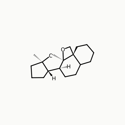 C[C@@]12CCC[C@H]1[C@@H]1CCC3CCCC[C@@]34CO[C@]14CC2